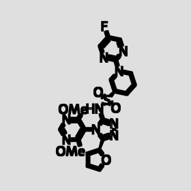 COc1ncnc(OC)c1-n1c(NS(=O)(=O)[C@@H]2CCCN(c3ncc(F)cn3)C2)nnc1[C@@H]1CCCO1